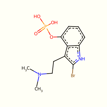 CN(C)CCc1c(Br)[nH]c2cccc(OP(=O)(O)O)c12